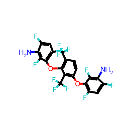 Nc1c(F)cc(F)c(Oc2ccc(C(F)(F)F)c(Oc3c(F)cc(F)c(N)c3F)c2C(F)(F)F)c1F